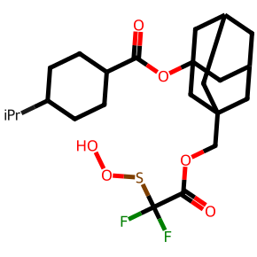 CC(C)C1CCC(C(=O)OC23CC4CC(CC(COC(=O)C(F)(F)SOO)(C4)C2)C3)CC1